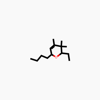 CCCCC1C=C(C)C(C)(C)C(CC)O1